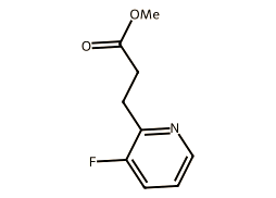 COC(=O)CCc1ncccc1F